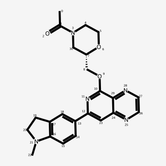 CC(=O)N1CCO[C@H](COc2nc(-c3ccc4c(c3)CCN4C)cc3nccnc23)C1